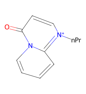 CCC[n+]1ccc(=O)n2ccccc21